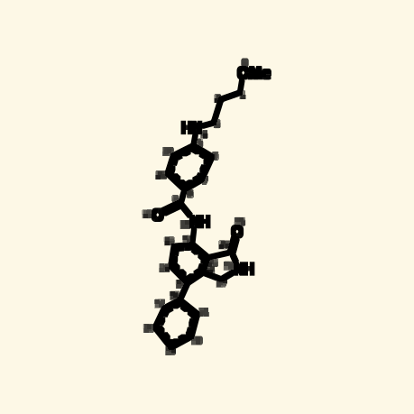 COCCCNc1ccc(C(=O)Nc2ccc(-c3ccccc3)c3c2C(=O)NC3)cc1